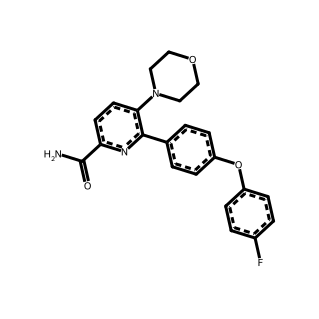 NC(=O)c1ccc(N2CCOCC2)c(-c2ccc(Oc3ccc(F)cc3)cc2)n1